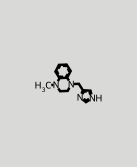 CN1CCN(Cc2c[nH]cn2)c2ccccc21